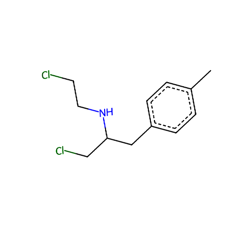 Cc1ccc(CC(CCl)NCCCl)cc1